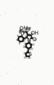 COCOc1ccccc1C1C(C(=O)C(C)C)=C(O)C(=O)N1c1ccc(-c2cccs2)cc1